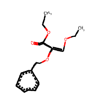 CCOC=C(OCc1ccccc1)C(=O)OCC